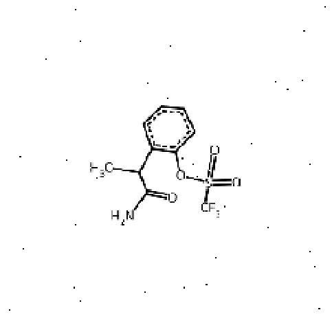 CC(C(N)=O)c1ccccc1OS(=O)(=O)C(F)(F)F